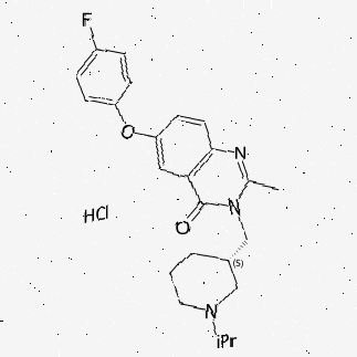 Cc1nc2ccc(Oc3ccc(F)cc3)cc2c(=O)n1C[C@H]1CCCN(C(C)C)C1.Cl